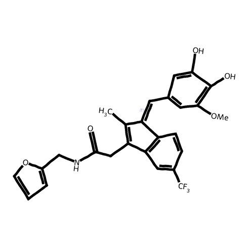 COc1cc(/C=C2/C(C)=C(CC(=O)NCc3ccco3)c3cc(C(F)(F)F)ccc32)cc(O)c1O